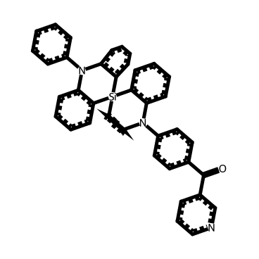 O=C(c1ccc(N2c3ccccc3[Si]3(c4ccccc4N(c4ccccc4)c4ccccc43)c3ccccc32)cc1)c1cccnc1